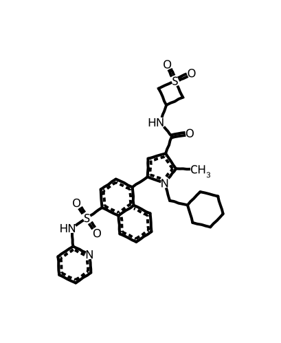 Cc1c(C(=O)NC2CS(=O)(=O)C2)cc(-c2ccc(S(=O)(=O)Nc3ccccn3)c3ccccc23)n1CC1CCCCC1